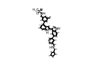 CS(=O)(=O)NCc1cc(F)cc(-c2cccc3[nH]c(-c4n[nH]c5ccc(-c6cncc(CNCC7CCCC7)c6)cc45)cc23)c1